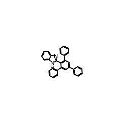 c1ccc(-c2cc(-c3ccccc3)c(-c3nc4ccccc4[nH]3)c(-c3ccccc3)c2)cc1